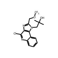 CC(C)(O)Cn1c(COC(F)(F)F)nc2c(Cl)nc3ccccc3c21